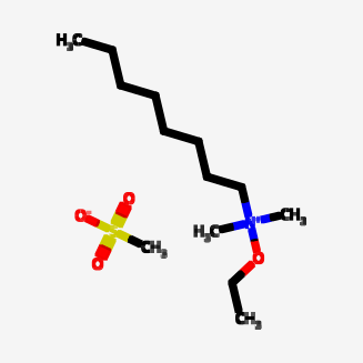 CCCCCCCC[N+](C)(C)OCC.CS(=O)(=O)[O-]